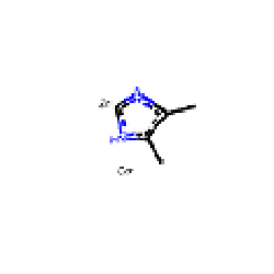 Cc1nc[nH]c1C.[Co].[Zn]